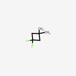 [CH2]C1(C)CC(F)(F)C1